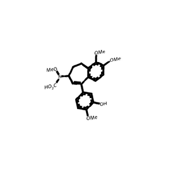 COc1ccc(C2=CC(N(OC)C(=O)O)CCc3c2ccc(OC)c3OC)cc1O